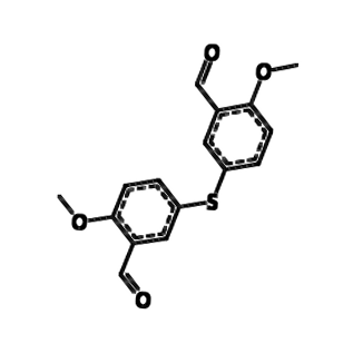 COc1ccc(Sc2ccc(OC)c(C=O)c2)cc1C=O